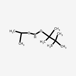 BC(C)(C)C(C)(C)OBOC(C)C